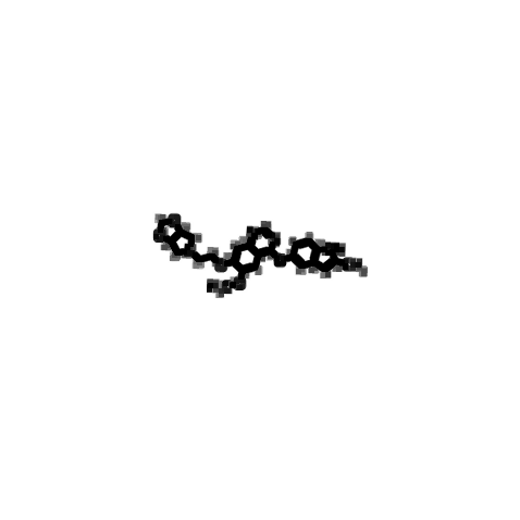 COc1cc2c(Oc3ccc4[nH]c(C)cc4c3)ncnc2cc1OCCN1CC2OCOC2C1